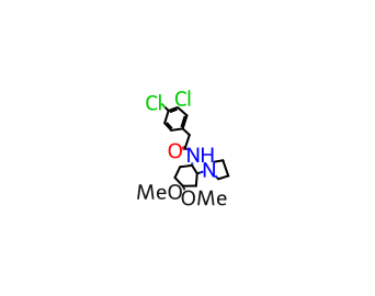 COC1(OC)CCC(NC(=O)Cc2ccc(Cl)c(Cl)c2)C(N2CCCC2)C1